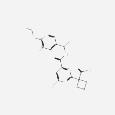 Cc1cc(C(=O)NC(C)c2cnc(OCC(F)(F)F)c(F)c2)nc(C2(C(N)=O)CCC2)n1